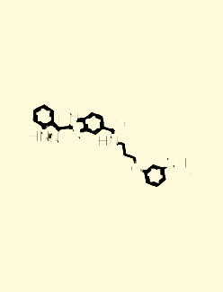 Nc1cccc(OCCCNC(=O)c2ccc3[nH]c(-c4n[nH]c5ccccc45)nc3c2)c1